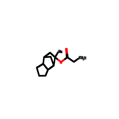 CCC(C)C1(OC(=O)CC(=O)O)CC2CC1C1CCCC21